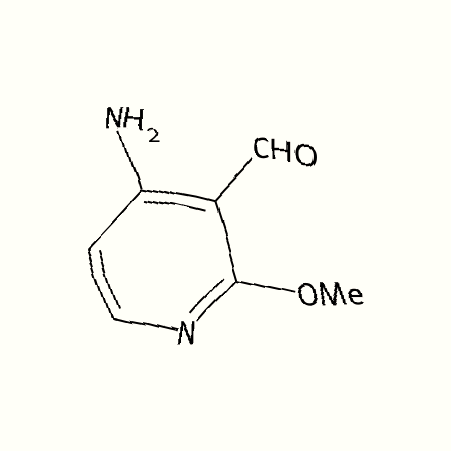 COc1nccc(N)c1C=O